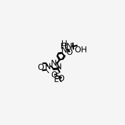 CCS(=O)(=O)Cc1cc(N2CCOC[C@@H]2C)nc(-c2ccc(NC(=O)NC(C)(C)CO)cc2)n1